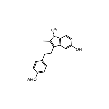 CCCn1c(C)c(CCc2ccc(OC)cc2)c2cc(O)ccc21